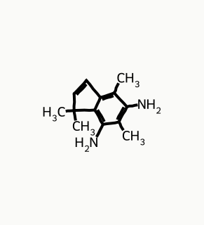 Cc1c(N)c(C)c2c(c1N)C(C)(C)C=C2